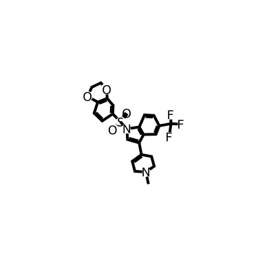 CN1CC=C(c2cn(S(=O)(=O)c3ccc4c(c3)OCCO4)c3ccc(C(F)(F)F)cc23)CC1